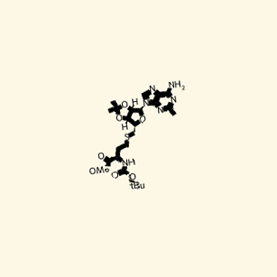 COC(=O)C(CCSC[C@H]1O[C@@H](n2cnc3c(N)nc(C)nc32)[C@@H]2OC(C)(C)O[C@@H]21)NC(=O)OC(C)(C)C